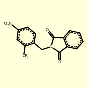 O=C1c2ccccc2C(=O)N1Cc1ccc([N+](=O)[O-])cc1C(F)(F)F